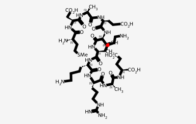 CSCC[C@H](N)C(=O)N[C@@H](CC(=O)O)C(=O)N[C@@H](C)C(=O)N[C@@H](CCC(=O)O)C(=O)N[C@H](C(=O)N[C@@H](CCCCN)C(=O)N[C@@H](CCCCN)C(=O)N[C@@H](CCCNC(=N)N)C(=O)N[C@@H](C)C(=O)N[C@@H](CCC(=O)O)C(=O)O)[C@@H](C)O